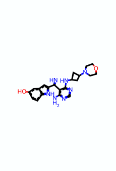 N=C(c1cc2cc(O)ccc2[nH]1)c1c(N)ncnc1NC1CC(N2CCOCC2)C1